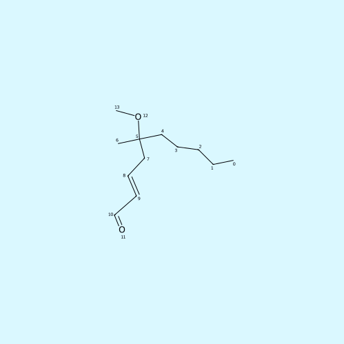 CCCCCC(C)(CC=CC=O)OC